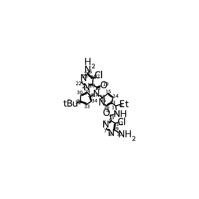 CCC(NC(=O)c1ncnc(N)c1Cl)c1ccc(N(C(=O)c2ncnc(N)c2Cl)c2ccc(C(C)(C)C)cc2)nc1